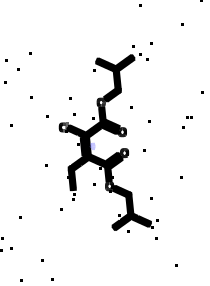 CC/C(C(=O)OCC(C)C)=C(\Cl)C(=O)OCC(C)C